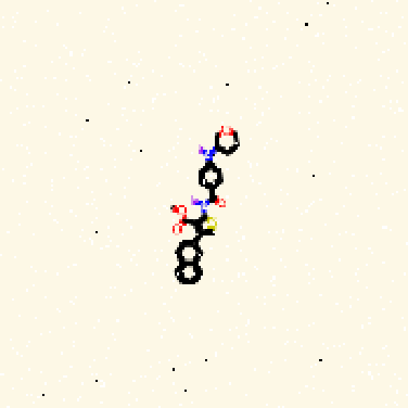 COC(=O)c1c(C2CCc3ccccc3C2)csc1N(I)C(=O)c1ccc(N(I)C2CCCOC2)cc1